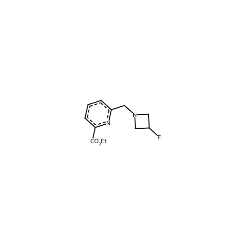 CCOC(=O)c1cccc(CN2CC(F)C2)n1